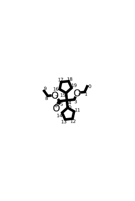 CCOCC(C(=O)OCC)(C1CCCC1)C1CCCC1